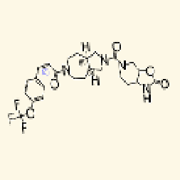 O=C1NC2CCN(C(=O)N3C[C@H]4CCN(C(=O)/C=C\c5ccc(OC(F)(F)F)cc5)CC[C@H]4C3)CC2O1